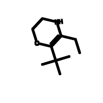 CCC1=C(C(C)(C)C)OCCN1